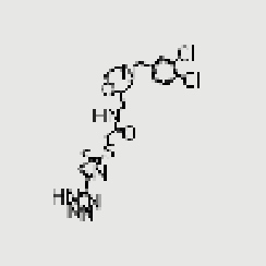 O=C(CSc1nc(-c2nnn[nH]2)cs1)NCC1CN(Cc2ccc(Cl)c(Cl)c2)CCO1